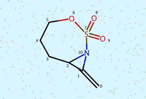 C=C1C2CCCOS(=O)(=O)N12